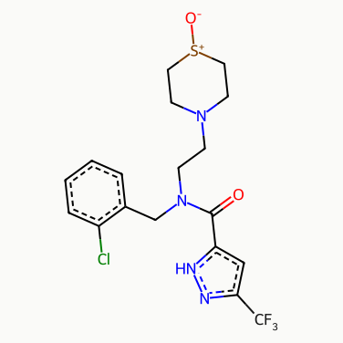 O=C(c1cc(C(F)(F)F)n[nH]1)N(CCN1CC[S+]([O-])CC1)Cc1ccccc1Cl